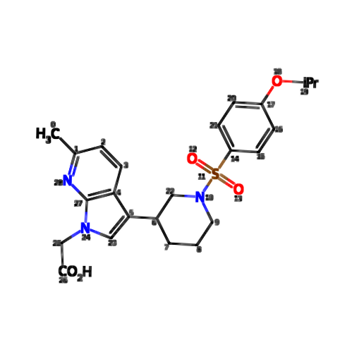 Cc1ccc2c(C3CCCN(S(=O)(=O)c4ccc(OC(C)C)cc4)C3)cn(CC(=O)O)c2n1